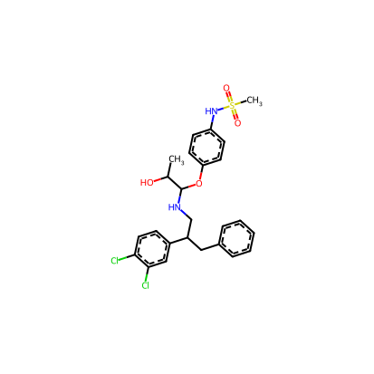 CC(O)C(NCC(Cc1ccccc1)c1ccc(Cl)c(Cl)c1)Oc1ccc(NS(C)(=O)=O)cc1